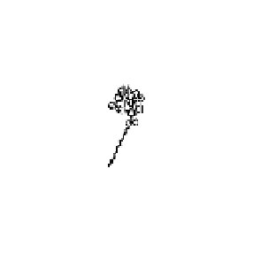 CCCCCCCCCCCCCCOC(=O)c1cc(Cl)c(N2N=C(Nc3cc(C(=O)OC)ccc3Cl)C(N3C(=O)CCC3=O)C2=O)c(Cl)c1